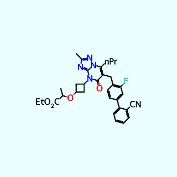 CCCc1c(Cc2ccc(-c3ccccc3C#N)cc2F)c(=O)n(C2CC(OC(C)C(=O)OCC)C2)c2nc(C)nn12